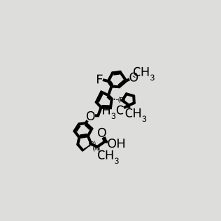 COc1ccc(F)c(-c2ccc(COc3ccc4c(c3)[C@@H]([C@@H](C)C(=O)O)CC4)cc2[C@@H]2CCCC2(C)C)c1